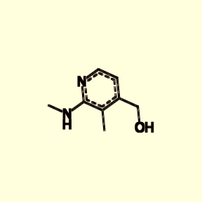 CNc1nccc(CO)c1C